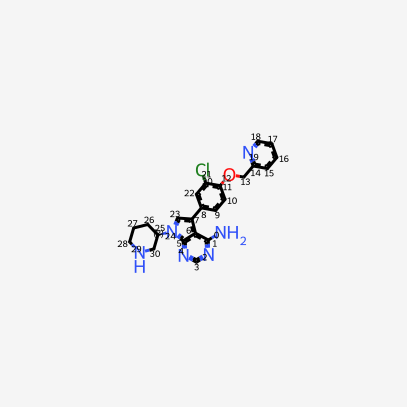 Nc1ncnc2c1c(-c1ccc(OCc3ccccn3)c(Cl)c1)cn2[C@@H]1CCCNC1